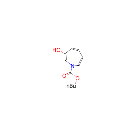 CCCCOC(=O)N1C=CC=CC(O)=C1